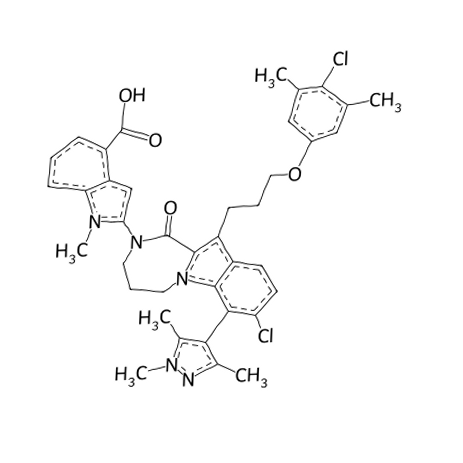 Cc1cc(OCCCc2c3n(c4c(-c5c(C)nn(C)c5C)c(Cl)ccc24)CCCN(c2cc4c(C(=O)O)cccc4n2C)C3=O)cc(C)c1Cl